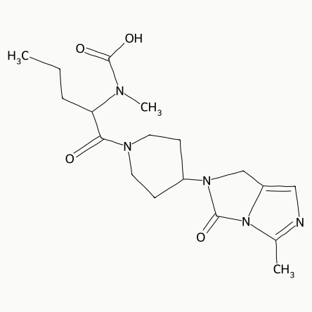 CCCC(C(=O)N1CCC(N2Cc3cnc(C)n3C2=O)CC1)N(C)C(=O)O